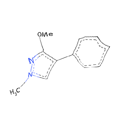 COc1nn(C)cc1-c1ccccc1